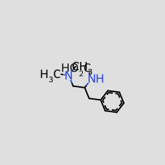 CN(C)CC(Cc1ccccc1)NC(=O)O